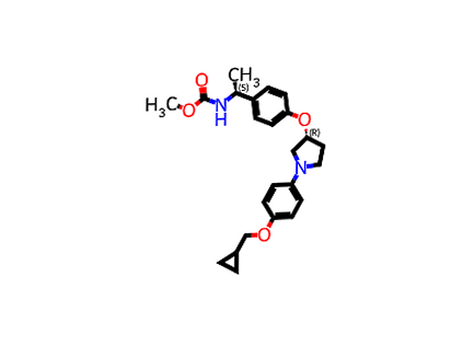 COC(=O)N[C@@H](C)c1ccc(O[C@@H]2CCN(c3ccc(OCC4CC4)cc3)C2)cc1